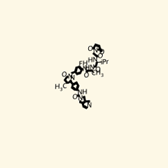 CC1CC(=O)N(Cc2ccc(NC(=O)[C@H](C)NC(=O)[C@@H](NC(=O)CN3C(=O)C=CC3=O)C(C)C)c(F)c2)N=C1c1ccc(NC(=O)N2Cc3ccncc3C2)cc1